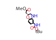 COC(=O)C[C@H]1CNc2cc(NC(=O)OC(C)(C)C)ccc2O1